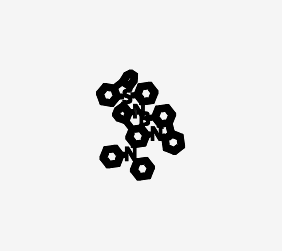 c1ccc(N(c2ccccc2)c2cc3c4c(c2)-n2c5ccccc5c5cccc(c52)B4N2c4ccccc4S4(c5ccccc5-c5ccccc54)c4cccc-3c42)cc1